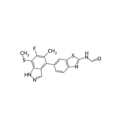 CSc1c(F)c(C)c(-c2ccc3nc(NC=O)sc3c2)c2cn[nH]c12